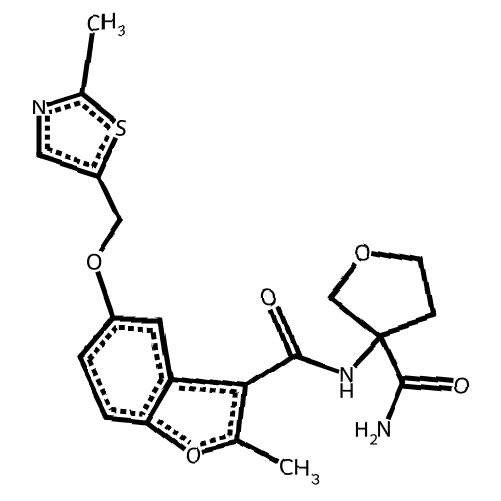 Cc1ncc(COc2ccc3oc(C)c(C(=O)NC4(C(N)=O)CCOC4)c3c2)s1